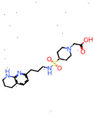 O=C(O)CN1CCC(S(=O)(=O)NCCCc2ccc3c(n2)NCCC3)CC1